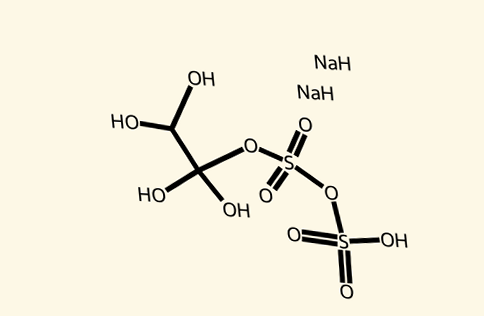 O=S(=O)(O)OS(=O)(=O)OC(O)(O)C(O)O.[NaH].[NaH]